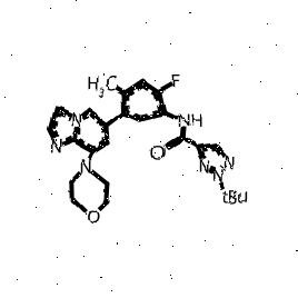 Cc1cc(F)c(NC(=O)c2cnn(C(C)(C)C)n2)cc1-c1cc(N2CCOCC2)c2nccn2c1